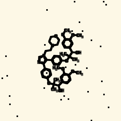 COc1ccc(C(O)C(C)(C)Oc2ccc(-c3ncn(CCN4CCOCC4)c3-c3ccc(OC(C)(C)C(O)c4ccc(OC)c(OC)c4)cc3)cc2)cc1OC